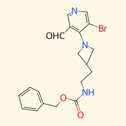 O=Cc1cncc(Br)c1N1CC(CCNC(=O)OCc2ccccc2)C1